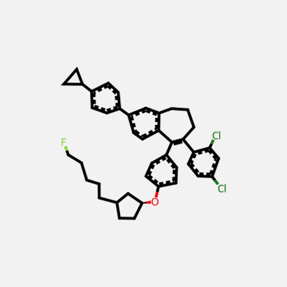 FCCCCCC1CC[C@H](Oc2ccc(C3=C(c4ccc(Cl)cc4Cl)CCCc4cc(-c5ccc(C6CC6)cc5)ccc43)cc2)C1